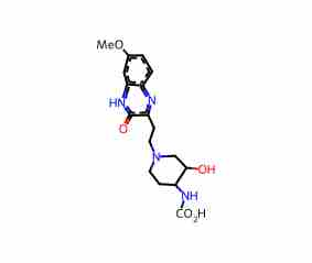 COc1ccc2nc(CCN3CCC(NC(=O)O)C(O)C3)c(=O)[nH]c2c1